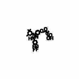 CC1CC(n2c(Nc3ccc(OC(F)(F)F)cc3)nc3cc(OCC(=O)N(C)CC(=O)O)ccc32)CC(C)(C)C1